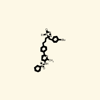 CCN1C(=O)N=NC1(CCCc1ccc(-c2ccc(NS(=O)(=O)c3ccccc3)c(C)n2)cc1)Cc1ccc(C(C)(C)C)cc1